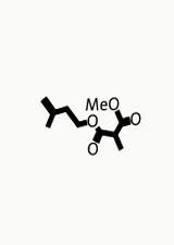 C=C(C)CCOC(=O)C(C)C(=O)OC